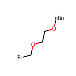 CCCCOCCOCC(C)C